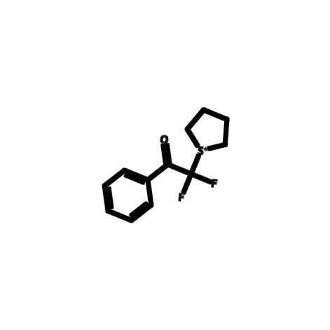 O=C(c1ccccc1)C(F)(F)[S+]1CCCC1